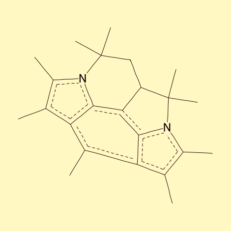 Cc1c(C)n2c3c4c5c(c(C)c(C)n5C(C)(C)C4CC2(C)C)c(C)c13